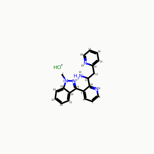 Cl.Cn1nc(-c2cccnc2C(N)Cc2ccccn2)c2ccccc21